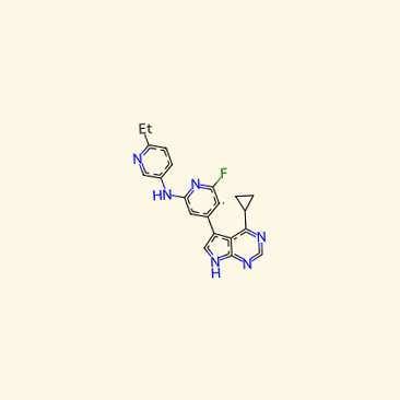 CCc1ccc(Nc2cc(-c3c[nH]c4ncnc(C5CC5)c34)[c]c(F)n2)cn1